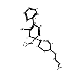 CC(C)CCCC1CCC(C2(OC(F)(F)F)C=CC(c3ccccc3)=C(F)C2)CC1